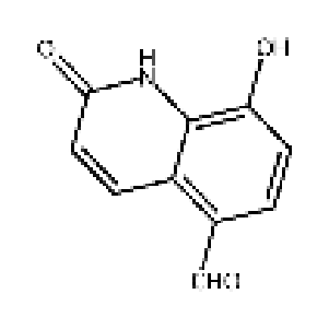 O=Cc1ccc(O)c2[nH]c(=O)ccc12